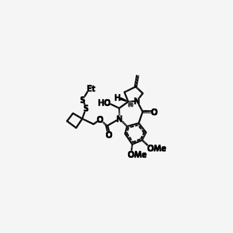 C=C1C[C@H]2C(O)N(C(=O)OCC3(SSCC)CCC3)c3cc(OC)c(OC)cc3C(=O)N2C1